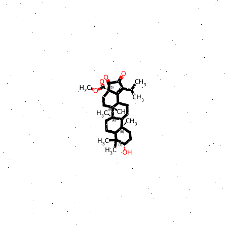 COC(=O)[C@@]12CC[C@]3(C)C(CCC4[C@@]5(C)CC[C@H](O)C(C)(C)C5CC[C@]43C)C1=C(C(C)C)C(=O)C2=O